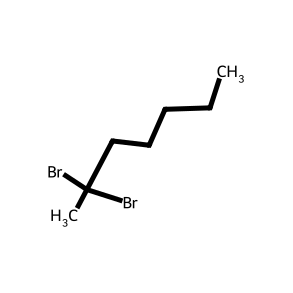 CCCCCC(C)(Br)Br